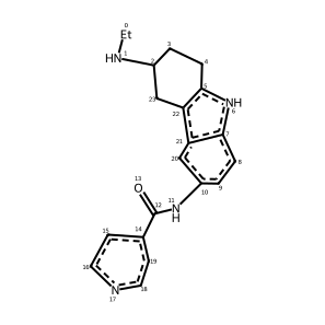 CCNC1CCc2[nH]c3ccc(NC(=O)c4ccncc4)cc3c2C1